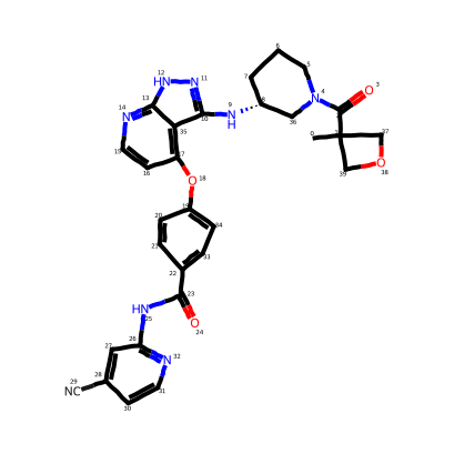 CC1(C(=O)N2CCC[C@@H](Nc3n[nH]c4nccc(Oc5ccc(C(=O)Nc6cc(C#N)ccn6)cc5)c34)C2)COC1